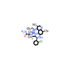 CC(C)(C)CNc1c(C#N)cnc2c(C#N)cc(N[C@H](C3=CN(C(C)(C)C(N)=O)NN3)c3ccccc3Cl)cc12